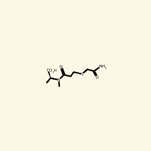 C[C@@H](C(=O)O)N(C)C(=O)CCSCC(N)=O